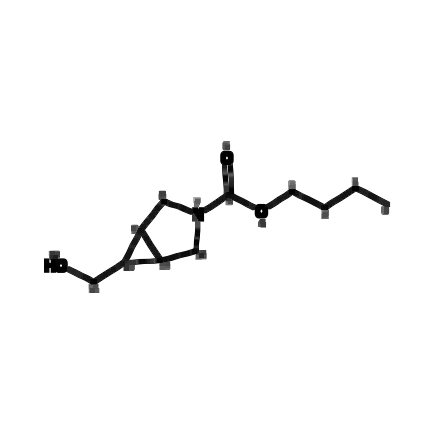 CCCCOC(=O)N1CC2C(CO)C2C1